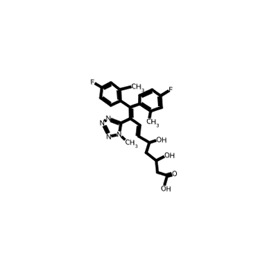 Cc1cc(F)ccc1C(=C(/C=C/C(O)CC(O)CC(=O)O)c1nnnn1C)c1ccc(F)cc1C